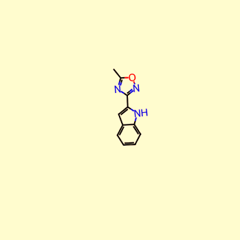 Cc1nc(-c2cc3ccccc3[nH]2)no1